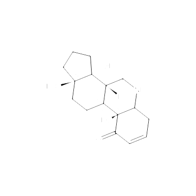 C[C@@]12CCC[C@H]1[C@@H]1CNC3CC=CC(=O)[C@]3(C)[C@H]1CC2